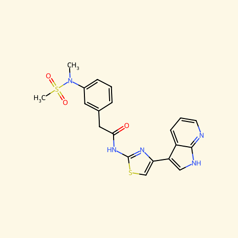 CN(c1cccc(CC(=O)Nc2nc(-c3c[nH]c4ncccc34)cs2)c1)S(C)(=O)=O